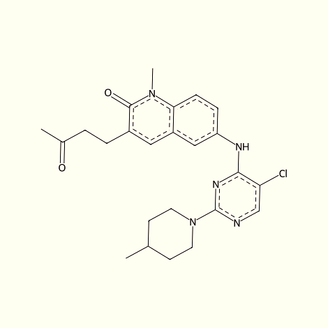 CC(=O)CCc1cc2cc(Nc3nc(N4CCC(C)CC4)ncc3Cl)ccc2n(C)c1=O